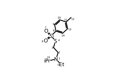 CCN(CCSS(=O)(=O)c1ccc(C)cc1)C(C)C